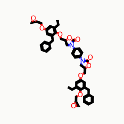 CCc1cc(OCC2CN(c3ccc(N4CC(COc5c(CC)cc(OCC6CO6)cc5Cc5ccccc5)OC4=O)cc3)C(=O)O2)cc(Cc2ccccc2)c1OCC1CO1